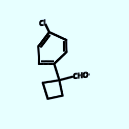 O=[C]C1(c2ccc(Cl)cc2)CCC1